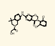 CC1(C)CN(C(=O)CO)Cc2cc(Nc3ncc4c(n3)OCN(c3c(Cl)cccc3Cl)C4=O)ccc21